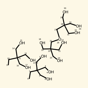 CCC(CO)(CO)CO.CCC(CO)(CO)CO.OCC(CO)(CO)COCC(CO)(CO)CO